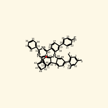 Cc1cc(C)c(-c2ccc3c4ccccc4n(-c4cc(-c5ccc(F)cc5)ccc4-c4nc(-c5ccccc5)nc(-c5ccccc5)n4)c3c2)c(C)c1